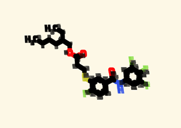 CCCCC(CC)COC(=O)CCSc1cc(C(=O)Nc2cc(F)c(F)c(F)c2)ccc1F